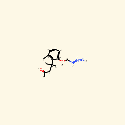 CC(=O)CC(C)(C)c1c(C)cccc1OCN=[N+]=[N-]